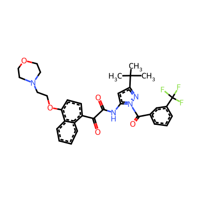 CC(C)(C)c1cc(NC(=O)C(=O)c2ccc(OCCN3CCOCC3)c3ccccc23)n(C(=O)c2cccc(C(F)(F)F)c2)n1